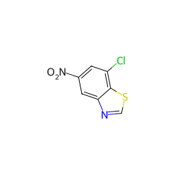 O=[N+]([O-])c1cc(Cl)c2scnc2c1